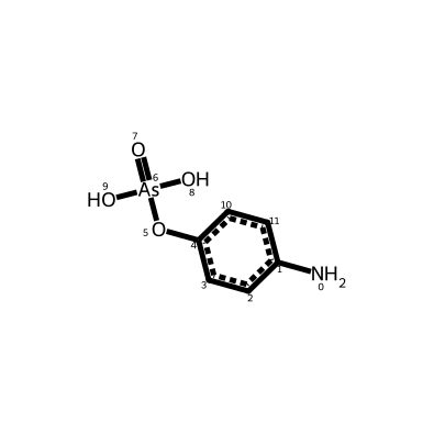 Nc1ccc(O[As](=O)(O)O)cc1